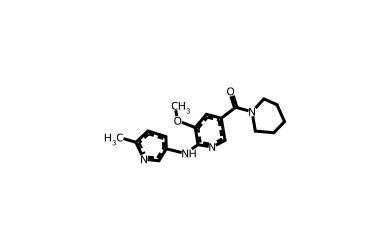 COc1cc(C(=O)N2CCCCC2)cnc1Nc1ccc(C)nc1